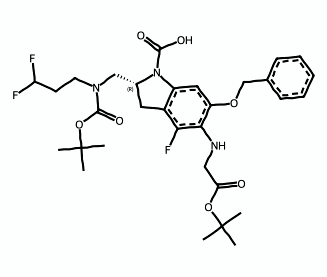 CC(C)(C)OC(=O)CNc1c(OCc2ccccc2)cc2c(c1F)C[C@H](CN(CCC(F)F)C(=O)OC(C)(C)C)N2C(=O)O